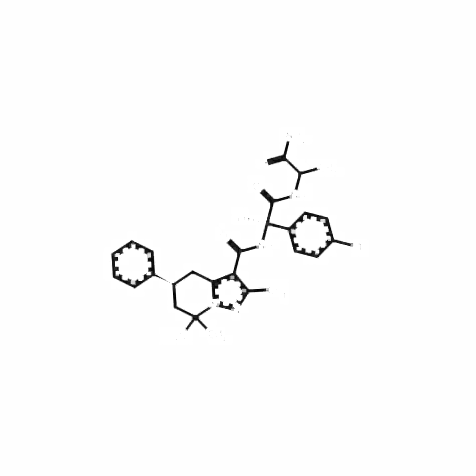 CCc1ccc([C@@](CC)(NC(=O)c2c(C)nn3c2C[C@H](c2ccccc2)CC3(C)C)C(=O)NC(C)C(N)=O)cc1